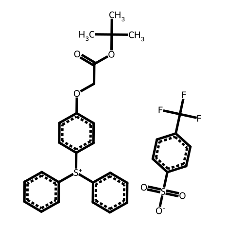 CC(C)(C)OC(=O)COc1ccc([S+](c2ccccc2)c2ccccc2)cc1.O=S(=O)([O-])c1ccc(C(F)(F)F)cc1